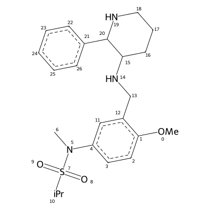 COc1ccc(N(C)S(=O)(=O)C(C)C)cc1CNC1CCCNC1c1ccccc1